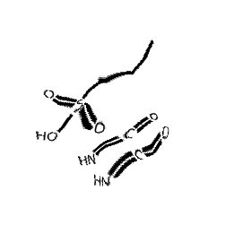 CCCS(=O)(=O)O.N=C=O.N=C=O